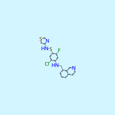 Fc1cc(NCc2cccc3ccncc23)c(Cl)cc1SNc1cscn1